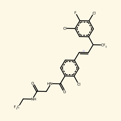 O=C(CNC(=O)c1ccc(/C=C/C(c2cc(Cl)c(F)c(Cl)c2)C(F)(F)F)cc1Cl)NCC(F)(F)F